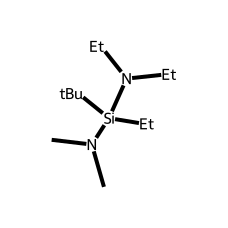 CCN(CC)[Si](CC)(N(C)C)C(C)(C)C